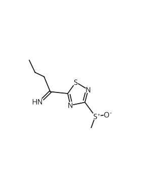 CCCC(=N)c1nc([S+](C)[O-])ns1